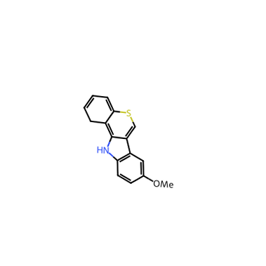 COc1ccc2[nH]c3c(c2c1)=CSC1=CC=CCC=31